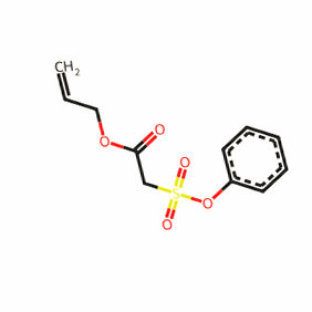 C=CCOC(=O)CS(=O)(=O)Oc1ccccc1